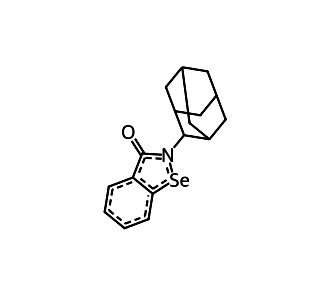 O=c1c2ccccc2[se]n1C1C2CC3CC(C2)CC1C3